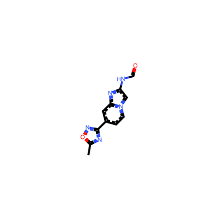 Cc1nc(-c2ccn3cc(NC=O)nc3c2)no1